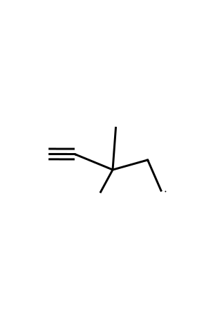 C#CC(C)(C)C[CH2]